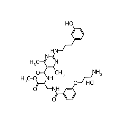 COC(=O)[C@H](CNC(=O)c1cccc(OCCCN)c1)NC(=O)c1c(C)nc(NCCCc2cccc(O)c2)nc1C.Cl